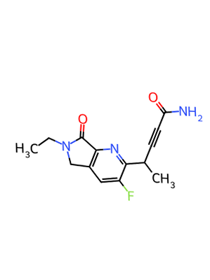 CCN1Cc2cc(F)c(C(C)C#CC(N)=O)nc2C1=O